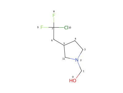 OCN1CCC(CC(F)(F)Cl)C1